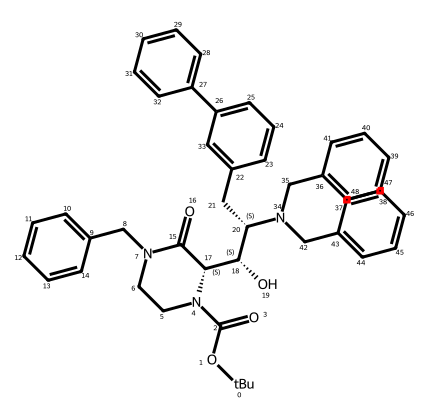 CC(C)(C)OC(=O)N1CCN(Cc2ccccc2)C(=O)[C@@H]1[C@@H](O)[C@H](Cc1cccc(-c2ccccc2)c1)N(Cc1ccccc1)Cc1ccccc1